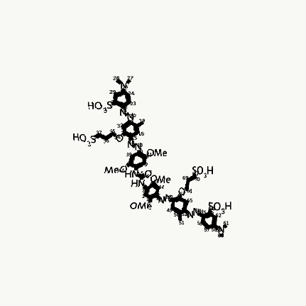 COc1cc(NC(=O)Nc2cc(OC)c(N=Nc3cc(C)c(N=Nc4ccc(N(C)C)cc4S(=O)(=O)O)cc3OCCCS(=O)(=O)O)cc2OC)c(OC)cc1N=Nc1cc(C)c(N=Nc2ccc(N(C)C)cc2S(=O)(=O)O)cc1OCCCS(=O)(=O)O